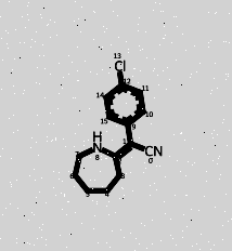 N#CC(=C1CCCCCN1)c1ccc(Cl)cc1